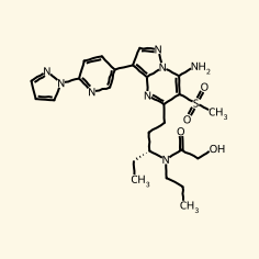 CCCN(C(=O)CO)[C@H](CC)CCc1nc2c(-c3ccc(-n4cccn4)nc3)cnn2c(N)c1S(C)(=O)=O